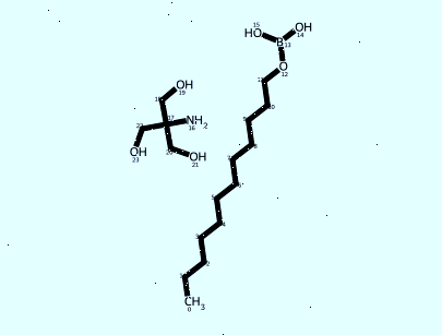 CCCCCCCCCCCCOB(O)O.NC(CO)(CO)CO